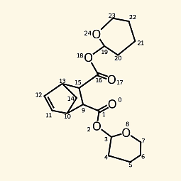 O=C(OC1CCCCO1)C1C2C=CC(C2)C1C(=O)OC1CCCCO1